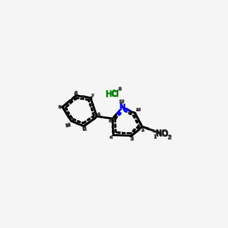 Cl.O=[N+]([O-])c1ccc(-c2ccccc2)nc1